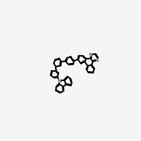 C1=CC(c2ccc(-c3ccc4c(c3)c3ccccc3c3nccnc43)cc2)=CC(c2cccc(-n3c4ccccc4c4ccccc43)c2)C1